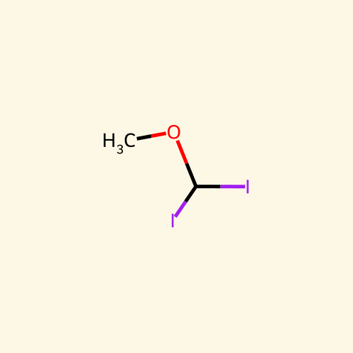 COC(I)I